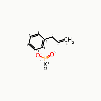 C=CCc1ccccc1.O=P[O-].[K+]